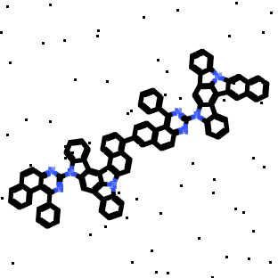 c1ccc(-c2nc(-n3c4ccccc4c4c5c6cc7ccccc7cc6n6c7ccccc7c(cc43)c56)nc3ccc4cc(-c5cccc6c5ccc5c6c6c7c8ccccc8n(-c8nc(-c9ccccc9)c9c(ccc%10ccccc%109)n8)c7cc7c8ccccc8n5c76)ccc4c23)cc1